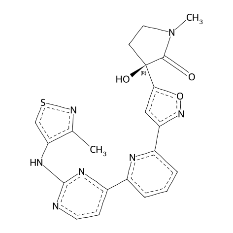 Cc1nscc1Nc1nccc(-c2cccc(-c3cc([C@]4(O)CCN(C)C4=O)on3)n2)n1